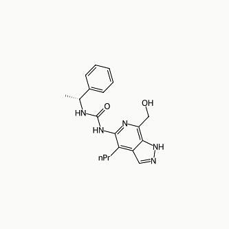 CCCc1c(NC(=O)N[C@H](C)c2ccccc2)nc(CO)c2[nH]ncc12